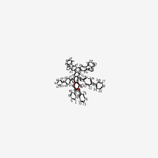 c1ccc(-c2ccc(N(c3ccc(-c4ccccc4)cc3)c3cc(-c4ccc5c(c4)oc4ccccc45)c(-c4ccc5c(c4)oc4ccccc45)cc3N(c3ccc(-c4ccccc4)cc3)c3ccc(-c4ccccc4)cc3)cc2)cc1